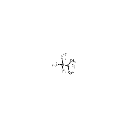 C[N]([Ga+2])[Si](C)(C)C.[Cl-].[Cl-]